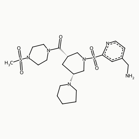 CS(=O)(=O)N1CCN(C(=O)[C@H]2C[C@@H](N3CCCCC3)CN(S(=O)(=O)c3cc(CN)ccn3)C2)CC1